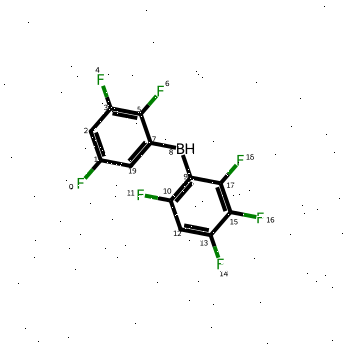 Fc1cc(F)c(F)c(Bc2c(F)cc(F)c(F)c2F)c1